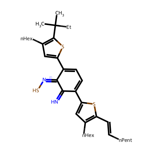 CCCCCC=Cc1sc(C2=CC=C(c3cc(CCCCCC)c(C(C)(C)CC)s3)/C(=N/S)C2=N)cc1CCCCCC